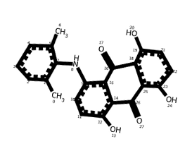 Cc1cccc(C)c1Nc1ccc(O)c2c1C(=O)c1c(O)ccc(O)c1C2=O